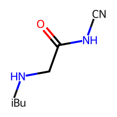 CCC(C)NCC(=O)NC#N